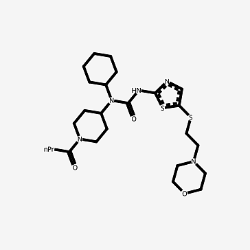 CCCC(=O)N1CCC(N(C(=O)Nc2ncc(SCCN3CCOCC3)s2)C2CCCCC2)CC1